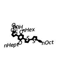 CCCCCCCCC#Cc1ccc(-c2ccc(-c3cc(OCCCCCC)c(-c4ccc(O[PH](=O)O)s4)cc3OCCCCCCC)s2)s1